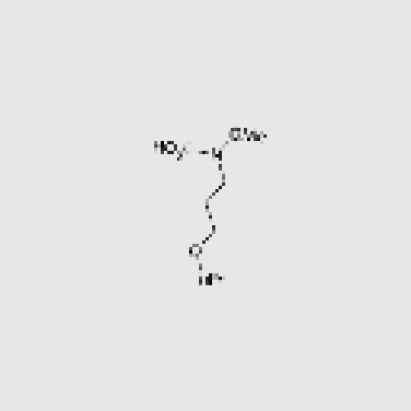 CCCOCCCN(OC)C(=O)O